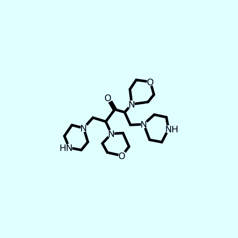 O=C(C(CN1CCNCC1)N1CCOCC1)C(CN1CCNCC1)N1CCOCC1